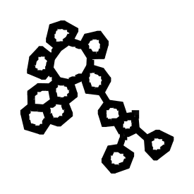 c1ccc(-c2nc3cc(-c4ccc5c6ccccc6c6ccccc6c6ccccc6c6c(cc7ccc8cccc9ccc6c7c89)c5c4)ccc3n2-c2ccccc2)cc1